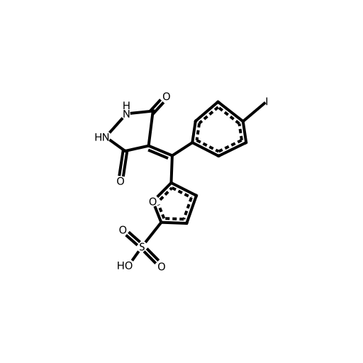 O=C1NNC(=O)C1=C(c1ccc(I)cc1)c1ccc(S(=O)(=O)O)o1